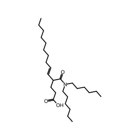 CCCCCCCC/C=C/C(CCC(=O)O)C(=O)N(CCCCCC)CCCCCC